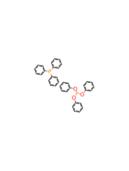 c1ccc(OP(Oc2ccccc2)Oc2ccccc2)cc1.c1ccc(P(c2ccccc2)c2ccccc2)cc1